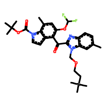 Cc1ccc2nc(C(=O)c3c(OC(F)F)cc(C)c4c3ccn4C(=O)OC(C)(C)C)n(COCC[Si](C)(C)C)c2c1